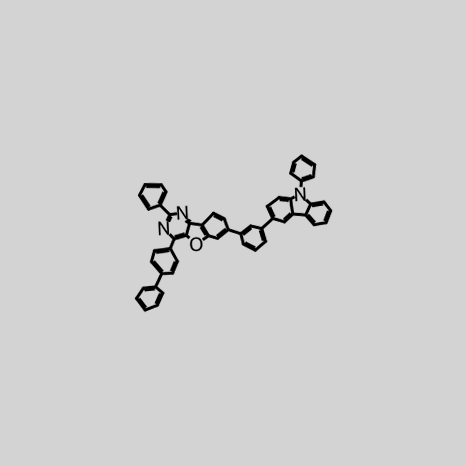 c1ccc(-c2ccc(-c3nc(-c4ccccc4)nc4c3oc3cc(-c5cccc(-c6ccc7c(c6)c6ccccc6n7-c6ccccc6)c5)ccc34)cc2)cc1